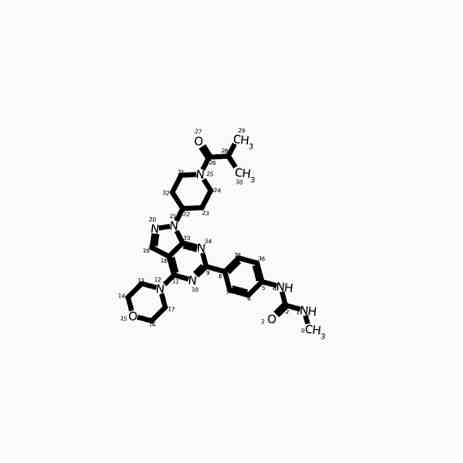 CNC(=O)Nc1ccc(-c2nc(N3CCOCC3)c3cnn(C4CCN(C(=O)C(C)C)CC4)c3n2)cc1